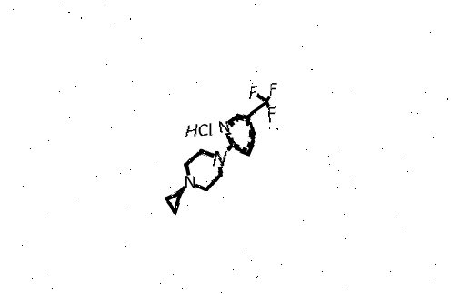 Cl.FC(F)(F)c1ccc(N2CCN(C3CC3)CC2)nc1